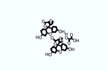 O=C(O)C(=O)O.O=C1OC2(c3ccc(O)cc3Oc3cc(O)ccc32)c2ccccc21.O=C1OC2(c3ccc(O)cc3Oc3cc(O)ccc32)c2ccccc21